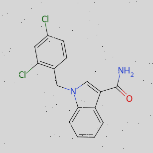 NC(=O)c1cn(Cc2ccc(Cl)cc2Cl)c2ccccc12